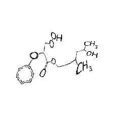 CC(O)CC(C)COC(=O)C(COO)Oc1ccccc1